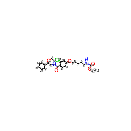 CC(C)(C)OC(=O)NCCCCCOc1ccc(C(=O)N2CCOC(c3ccccc3)C2)c(Cl)c1